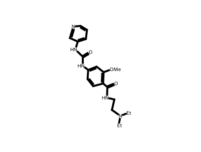 CCN(CC)CCNC(=O)c1ccc(NC(=O)Nc2cccnc2)cc1OC